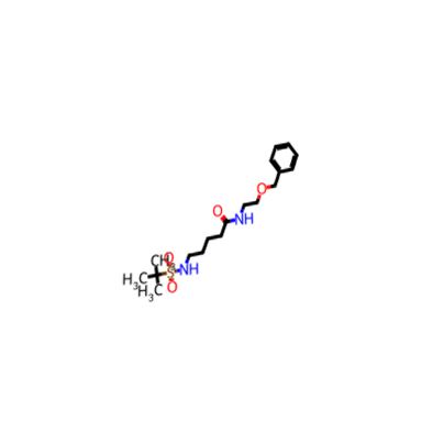 CC(C)(C)S(=O)(=O)NCCCCC(=O)NCCOCc1ccccc1